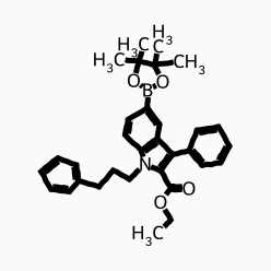 CCOC(=O)c1c(-c2ccccc2)c2cc(B3OC(C)(C)C(C)(C)O3)ccc2n1CCCc1ccccc1